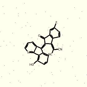 N#CC(C#N)=C1/C(=C2/c3cccnc3-c3c(O)cccc32)C(=O)c2cc(F)ccc21